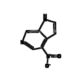 O=[N+]([O-])c1cncc2[nH]ccc12